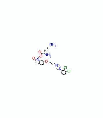 NCCCCC(N)C(=O)OCN1C(=O)CCc2ccc(OCCCCN3CCN(c4cccc(Cl)c4Cl)CC3)cc21